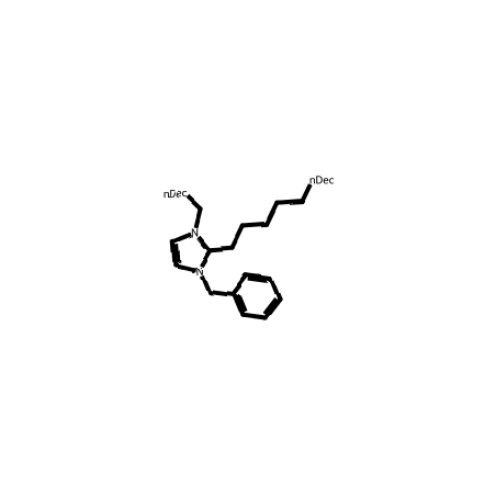 CCCCCCCCCCCCCCCC1N(CCCCCCCCCCC)C=CN1Cc1ccccc1